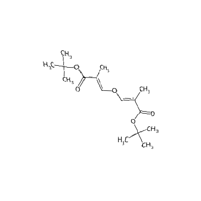 C/C(=C\O/C=C(\C)C(=O)OC(C)(C)C)C(=O)OC(C)(C)C